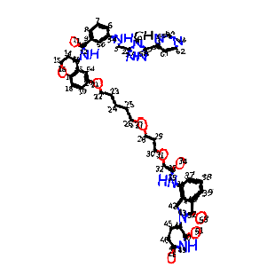 Cn1c(CNc2cccc(C(=O)N[C@@H]3CCOc4ccc(OCCCCCOCCCOCC(=O)Nc5cccc6c5CN(C5CCC(=O)NC5=O)C6=O)cc43)c2)nnc1-c1ccncn1